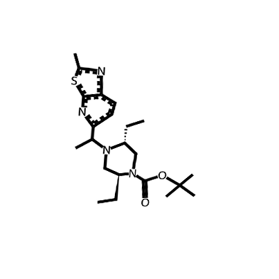 CC[C@H]1CN(C(C)c2ccc3nc(C)sc3n2)[C@H](CC)CN1C(=O)OC(C)(C)C